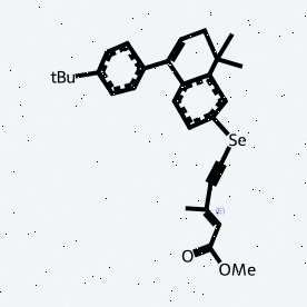 COC(=O)/C=C(\C)C#C[Se]c1ccc2c(c1)C(C)(C)CC=C2c1ccc(C(C)(C)C)cc1